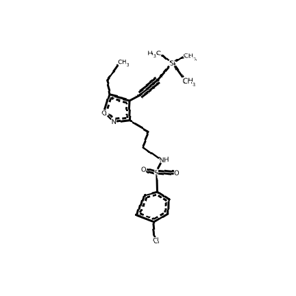 CCc1onc(CCNS(=O)(=O)c2ccc(Cl)cc2)c1C#C[Si](C)(C)C